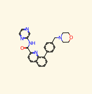 O=C(Nc1cnccn1)c1ccc2cccc(-c3ccc(CN4CCOCC4)cc3)c2n1